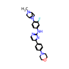 CN1CC2CC1CN2c1ccc(Nc2nccc(-c3ccc(N4CCOCC4)cc3)n2)cc1F